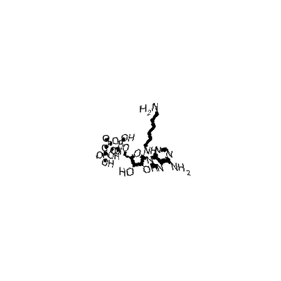 NCCCCCCN[C@@]1(n2cnc3c(N)ncnc32)O[C@H](COP(=O)(O)OP(=O)(O)OP(=O)(O)O)[C@@H](O)[C@H]1O